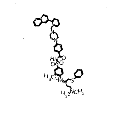 Cc1cc(S(=O)(=O)NC(=O)c2ccc(N3CCN(Cc4ccccc4-c4ccc5ccccc5c4)CC3)cc2)ccc1N[C@H](CCN(C)C)CSc1ccccc1